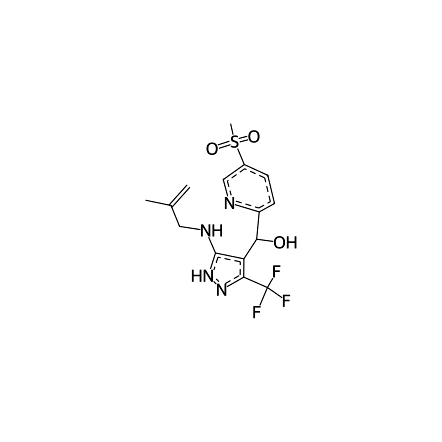 C=C(C)CNc1[nH]nc(C(F)(F)F)c1C(O)c1ccc(S(C)(=O)=O)cn1